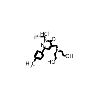 Cc1ccc(-c2cc(CN(CCO)CCO)c(=O)n(CC(C)C)n2)cc1.Cl